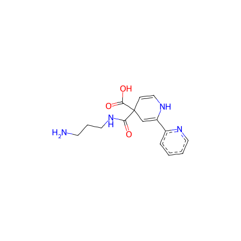 NCCCNC(=O)C1(C(=O)O)C=CNC(c2ccccn2)=C1